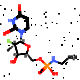 C[C@@]1(F)[C@H](O)[C@@H](COP(=O)(O)NCC(=O)O)O[C@H]1n1ccc(=O)[nH]c1=O